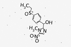 CC[S+]([O-])c1ccc(C(O)c2ncc([N+](=O)[O-])n2C)cc1